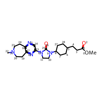 COC(=O)CCC1CCC(N2CCN(c3cnc4c(n3)CCN(C)CC4)C2=O)CC1